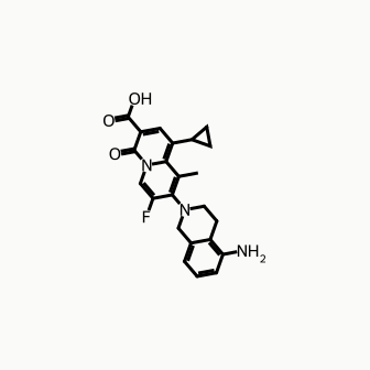 Cc1c(N2CCc3c(N)cccc3C2)c(F)cn2c(=O)c(C(=O)O)cc(C3CC3)c12